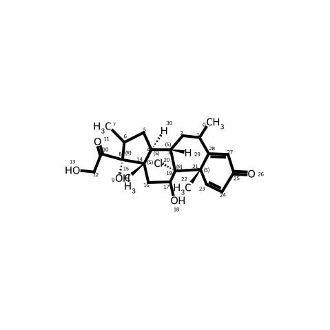 CC1C[C@H]2[C@@H]3CC(C)[C@](O)(C(=O)CO)[C@@]3(C)CC(O)[C@]2(Cl)[C@@]2(C)C=CC(=O)C=C12